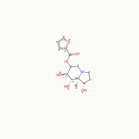 O=C(OC1CN2CC[C@H](O)[C@H]2[C@H](O)[C@H]1O)c1ccco1